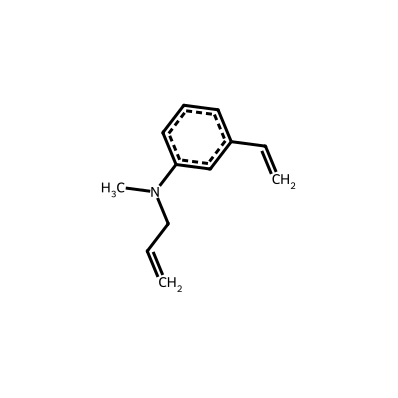 C=CCN(C)c1cccc(C=C)c1